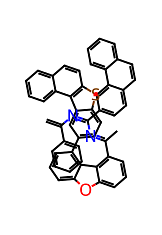 C=C(/N=C(\N=C(/C)c1cccc2oc3cccc(-c4ccc5sc6ccc7ccccc7c6c5c4)c3c12)c1ccc2ccc3ccccc3c2c1)c1ccccc1